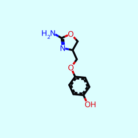 NC1=NC(COc2ccc(O)cc2)CO1